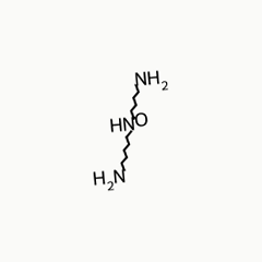 NCCCCCCCNC(=O)CCCCCN